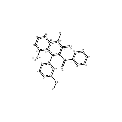 COc1cccc(-c2c(C(=O)c3ccccc3)c(=O)n(C)c3nccc(N)c23)c1